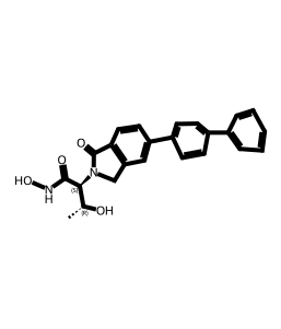 C[C@@H](O)[C@@H](C(=O)NO)N1Cc2cc(-c3ccc(-c4ccccc4)cc3)ccc2C1=O